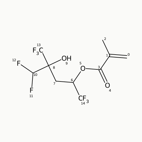 C=C(C)C(=O)OC(CC(O)(C(F)F)C(F)(F)F)C(F)(F)F